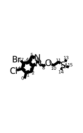 Cc1cc2c(cnn2COCC[Si](C)(C)C)c(Br)c1Cl